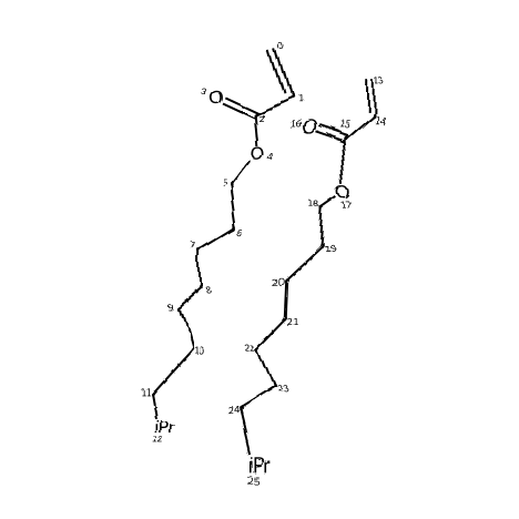 C=CC(=O)OCCCCCCCC(C)C.C=CC(=O)OCCCCCCCC(C)C